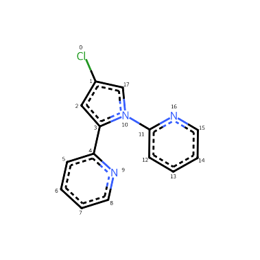 Clc1cc(-c2ccccn2)n(-c2ccccn2)c1